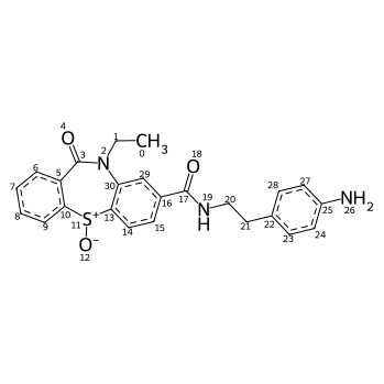 CCN1C(=O)c2ccccc2[S+]([O-])c2ccc(C(=O)NCCc3ccc(N)cc3)cc21